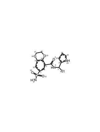 CCC(NC(=O)c1cc(S(N)(=O)=O)cc2c1OCCO2)c1ccc[nH]1